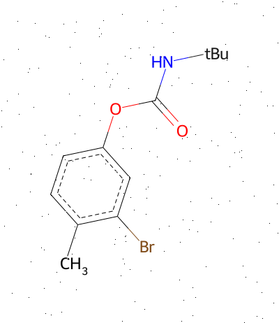 Cc1ccc(OC(=O)NC(C)(C)C)cc1Br